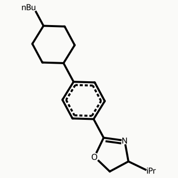 CCCCC1CCC(c2ccc(C3=NC(C(C)C)CO3)cc2)CC1